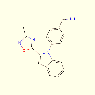 Cc1noc(-c2cc3ccccc3n2-c2ccc(CN)cc2)n1